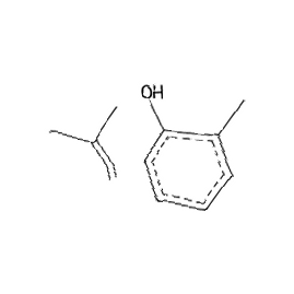 C=C(C)C.Cc1ccccc1O